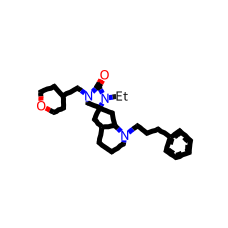 CCN1C(=O)N(CC2CCOCC2)CC12CC1CCCN(CCCc3ccccc3)C1C2